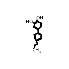 CCCc1ccc(-c2ccc(O)c(O)c2)cc1